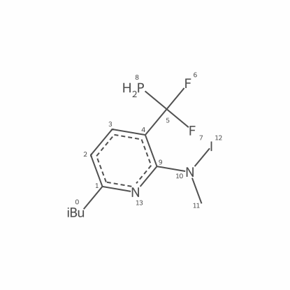 CCC(C)c1ccc(C(F)(F)P)c(N(C)I)n1